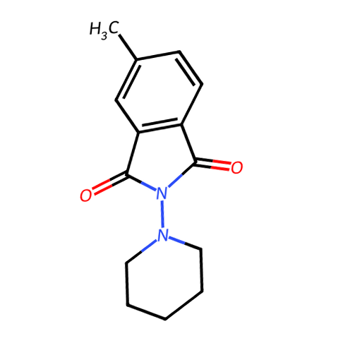 Cc1ccc2c(c1)C(=O)N(N1CCCCC1)C2=O